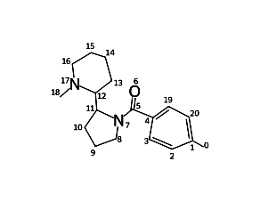 Cc1ccc(C(=O)N2CCCC2C2CCCCN2C)cc1